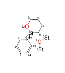 CCOCC.c1ccc([SiH]2CCCCO2)cc1